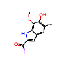 COc1c(O)c(C)cc2cc(C(=O)I)[nH]c12